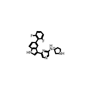 Fc1cccc(F)c1-c1ccc2[nH]cc(-c3cncc(N[C@@H]4CCNC4)n3)c2c1